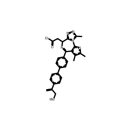 C=C(CC(C)(C)C)c1ccc(-c2ccc(C3=NC(CC(=O)CC)c4nnc(C)n4-c4sc(C)c(C)c43)cc2)cc1